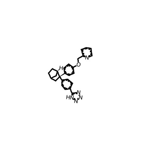 c1ccc(COc2ccc([C@@]3(c4ccc(-c5nnn[nH]5)cc4)CC4CC[C@@H]3C4)cc2)nc1